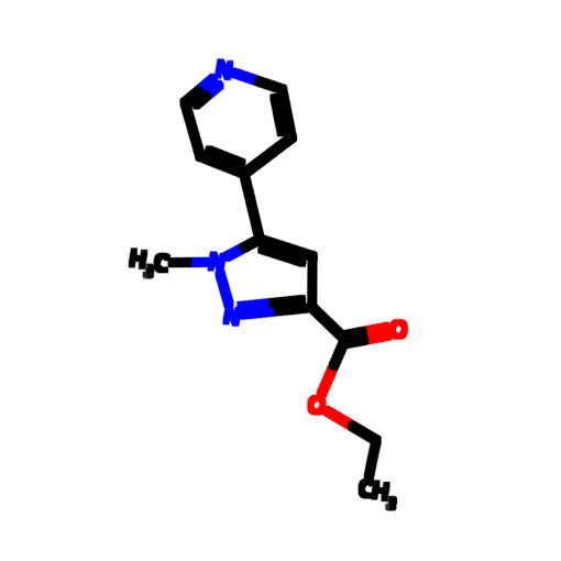 CCOC(=O)c1cc(-c2ccncc2)n(C)n1